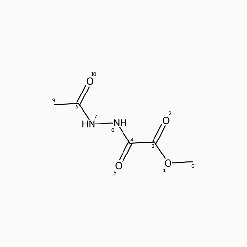 COC(=O)C(=O)NNC(C)=O